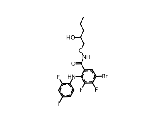 CCCC(O)CONC(=O)c1cc(Br)c(F)c(F)c1Nc1ccc(I)cc1F